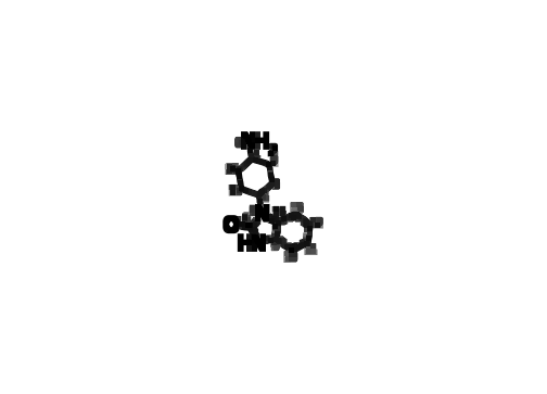 NC1CCC(n2c(=O)[nH]c3ccccc32)CC1